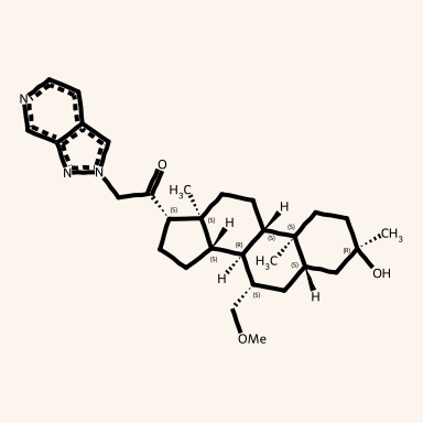 COC[C@H]1C[C@H]2C[C@](C)(O)CC[C@]2(C)[C@H]2CC[C@]3(C)[C@@H](C(=O)Cn4cc5ccncc5n4)CC[C@H]3[C@H]12